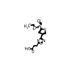 CCON(C=O)c1cc(-c2noc(CCC(=O)O)n2)cs1